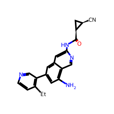 CCc1ccncc1-c1cc(N)c2cnc(NC(=O)[C@H]3C[C@H]3C#N)cc2c1